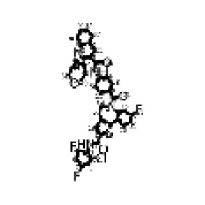 O=C(Nc1c(F)cc(F)cc1Cl)c1cc2c(s1)-c1ccc(F)cc1N(C(=O)c1ccc(NC(=O)c3cc4ccccc4nc3N3C4CCC3COC4)cc1)CC2